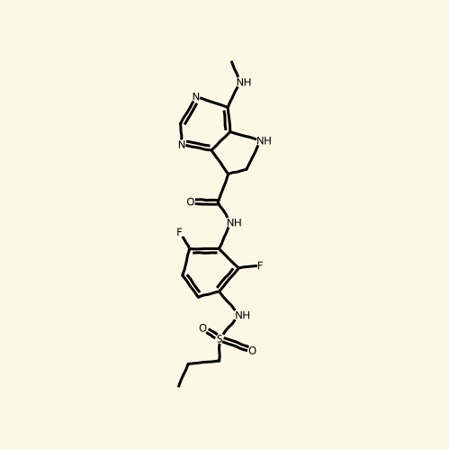 CCCS(=O)(=O)Nc1ccc(F)c(NC(=O)C2CNc3c(NC)ncnc32)c1F